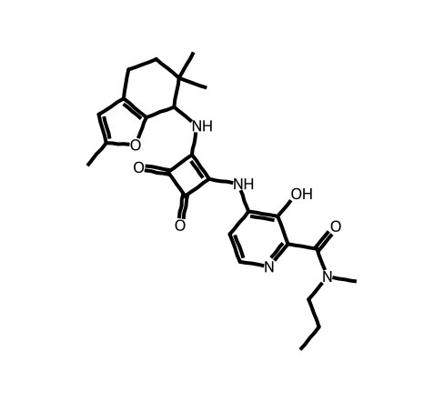 CCCN(C)C(=O)c1nccc(Nc2c(NC3c4oc(C)cc4CCC3(C)C)c(=O)c2=O)c1O